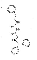 O=C(CNC(c1ccccc1)c1ccccc1)NC(=O)NCCc1ccccc1